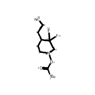 CC(C)(C)C(=O)ON1CCC(CCC#N)C(F)(F)C1